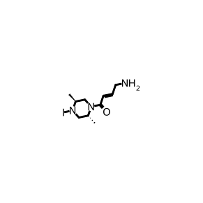 C[C@@H]1CN(I)[C@@H](C)CN1C(=O)/C=C/CN